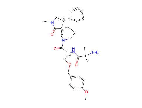 COc1ccc(COC[C@@H](NC(=O)C(C)(C)N)C(=O)N2CCC[C@]3(C2)C(=O)N(C)C[C@@H]3c2ccccc2)cc1